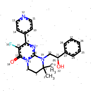 CC1(C)CCn2c(nc(-c3ccncc3)c(F)c2=O)N1C[C@H](O)c1ccccc1